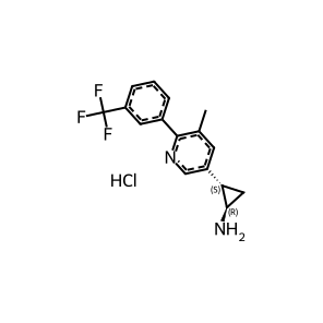 Cc1cc([C@@H]2C[C@H]2N)cnc1-c1cccc(C(F)(F)F)c1.Cl